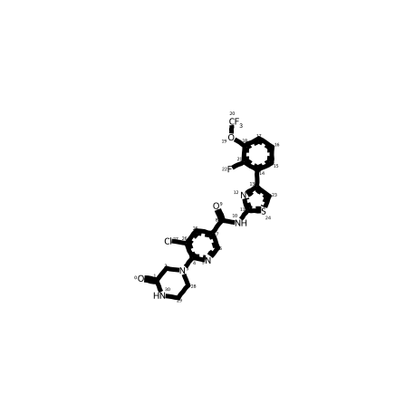 O=C1CN(c2ncc(C(=O)Nc3nc(-c4cccc(OC(F)(F)F)c4F)cs3)cc2Cl)CCN1